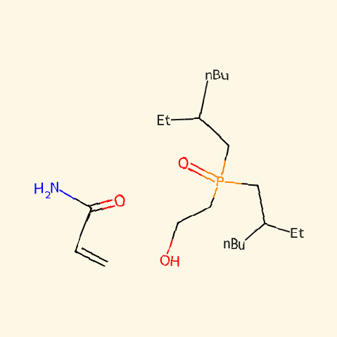 C=CC(N)=O.CCCCC(CC)CP(=O)(CCO)CC(CC)CCCC